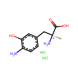 C[C@](N)(Cc1ccc(N)c(O)c1)C(=O)O.Cl.Cl